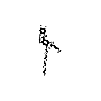 CN(C)CC=CC(=O)Nc1cc2c(Nc3cc(Cl)c(Cl)cc3F)ncnc2cc1OCCOCCOCCOCCF